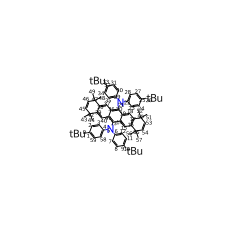 CC(C)(C)c1ccc(N(c2ccc(C(C)(C)C)cc2)c2c3cc4c(cc3c(N(c3ccc(C(C)(C)C)cc3)c3ccc(C(C)(C)C)cc3)c3cc5c(cc23)C(C)(C)C=CC5(C)C)C(C)(C)C=CC4(C)C)cc1